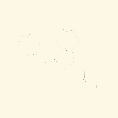 CCCCN1CCc2c(c3ccccc3n2Cc2ccccc2)C1